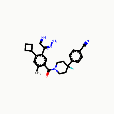 Cc1cc(C2CCC2)c(/C(C=N)=N/N)cc1C(=O)N1CCC(F)(c2ccc(C#N)cc2)CC1